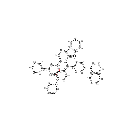 c1ccc(-c2ccc(N(c3ccc(-c4cccc5ccccc45)cc3)c3c(-c4cccc(-c5ccccc5)c4)ccc4c3oc3ccccc34)cc2)cc1